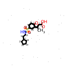 Cc1c(C(=O)O)oc2ccc(S(=O)(=O)NCCC3CCCC3)cc12